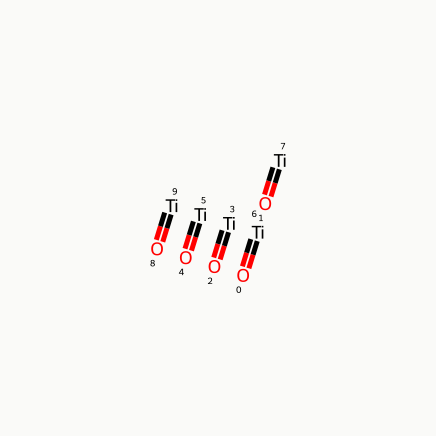 [O]=[Ti].[O]=[Ti].[O]=[Ti].[O]=[Ti].[O]=[Ti]